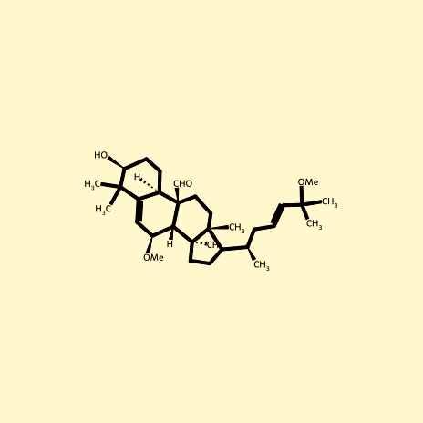 CO[C@H]1C=C2[C@@H](CC[C@H](O)C2(C)C)[C@]2(C=O)CC[C@]3(C)C([C@H](C)C/C=C/C(C)(C)OC)CC[C@@]3(C)[C@H]12